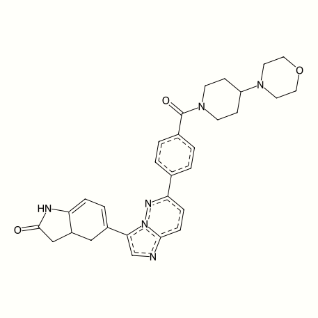 O=C1CC2CC(c3cnc4ccc(-c5ccc(C(=O)N6CCC(N7CCOCC7)CC6)cc5)nn34)=CC=C2N1